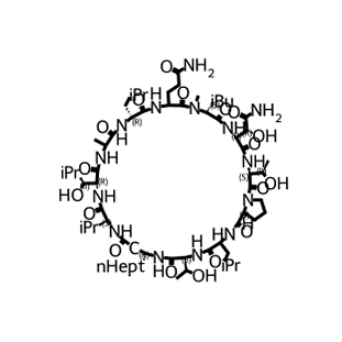 CCCCCCC[C@@H]1CC(=O)N[C@@H](C(C)C)C(=O)N[C@H]([C@@H](O)C(C)C)C(=O)NC(C)C(=O)N[C@H](CC(C)C)C(=O)NC(CCC(N)=O)C(=O)N(C)C([C@@H](C)CC)C(=O)N[C@H]([C@@H](O)C(N)=O)C(=O)N[C@@H]([C@@H](C)O)C(=O)N2CCC[C@H]2C(=O)NC(CC(C)C)C(=O)N[C@@H](C(C)O)C(=O)N1